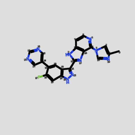 Cc1cn(-c2nccc3[nH]c(-c4n[nH]c5cc(F)c(-c6cncnc6)cc45)nc23)cn1